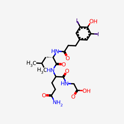 CC(C)C[C@H](NC(=O)CCc1cc(I)c(O)c(I)c1)C(=O)NC(CCC(N)=O)C(=O)NCC(=O)O